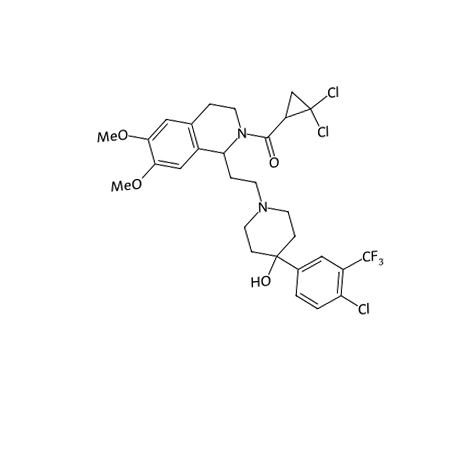 COc1cc2c(cc1OC)C(CCN1CCC(O)(c3ccc(Cl)c(C(F)(F)F)c3)CC1)N(C(=O)C1CC1(Cl)Cl)CC2